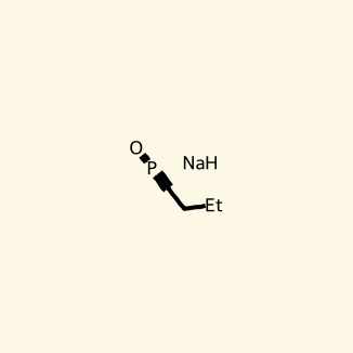 CCCC#P=O.[NaH]